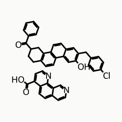 O=C(O)c1ccnc2c1ccc1ccncc12.O=C(c1ccccc1)C1CCc2ccc3c(ccc4cc(Cc5ccc(Cl)cc5)c(O)cc43)c2C1